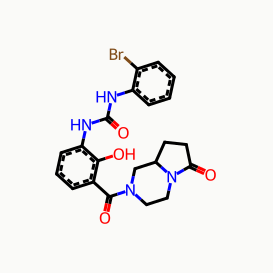 O=C(Nc1ccccc1Br)Nc1cccc(C(=O)N2CCN3C(=O)CCC3C2)c1O